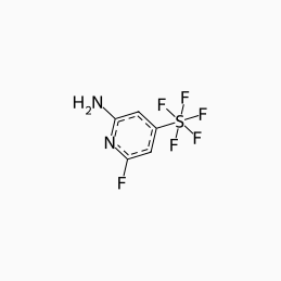 Nc1cc(S(F)(F)(F)(F)F)cc(F)n1